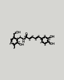 Cc1ncc(CO)c(CNC(=O)C=CC=Cc2ccc(O)c(O)c2)c1O